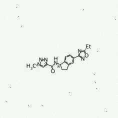 CCc1nc(-c2ccc3c(c2)CC[C@H]3NC(=O)c2cn(C)nn2)no1